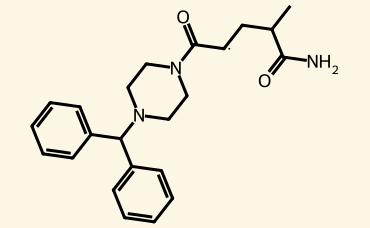 CC(C[CH]C(=O)N1CCN(C(c2ccccc2)c2ccccc2)CC1)C(N)=O